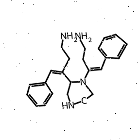 NCCC(=Cc1ccccc1)C1CNCCN1C(=Cc1ccccc1)CCN